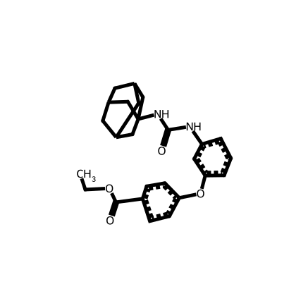 CCOC(=O)c1ccc(Oc2cccc(NC(=O)NC34CC5CC(CC(C5)C3)C4)c2)cc1